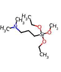 CCO[Si](CCCN(C)C)(OC)OCC